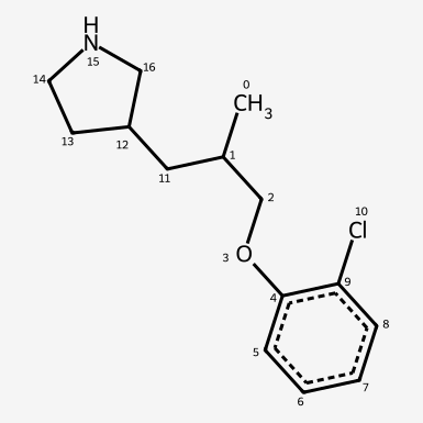 CC(COc1ccccc1Cl)CC1CCNC1